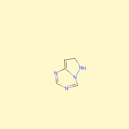 C1=NC=NC2=CCNN12